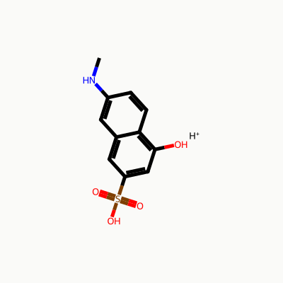 CNc1ccc2c(O)cc(S(=O)(=O)O)cc2c1.[H+]